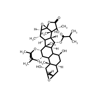 CC(=O)O[C@H]1C2C([C@@H]3[C@@H](OC(=O)C(C)C)[C@@H]4[C@H]([C@H](C)[C@H]5O[C@]56OC(=O)[C@@](C)(O)[C@]46C)[C@@]3(C)[C@H]1OC(C)=O)[C@@H](O)C[C@H]1C[C@@H]3O[C@@H]3[C@H](O)[C@]21C